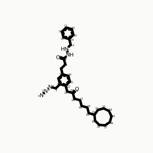 [N-]=[N+]=NCc1cc(CCC(=O)NNCc2ccccc2)ccc1CC(=O)CCCCCC1CCCCCCCC1